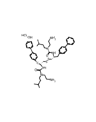 CC(C)CCN(CCN)C(=O)N[C@@H](CSSC[C@@H](Cc1ccc(-c2ccccc2)cc1)NC(=O)N(CCN)CCC(C)C)Cc1ccc(-c2ccccc2)cc1.Cl.Cl